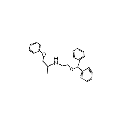 CC(COc1ccccc1)NCCOC(c1ccccc1)c1ccccc1